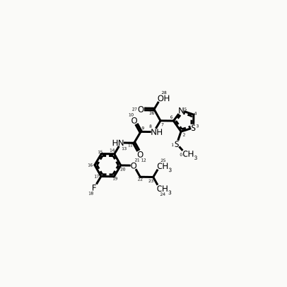 CSc1scnc1C(NC(=O)C(=O)Nc1ccc(F)cc1OCC(C)C)C(=O)O